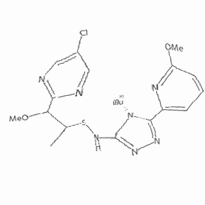 CC[C@@H](C)n1c(NSC(C)C(OC)c2ncc(Cl)cn2)nnc1-c1cccc(OC)n1